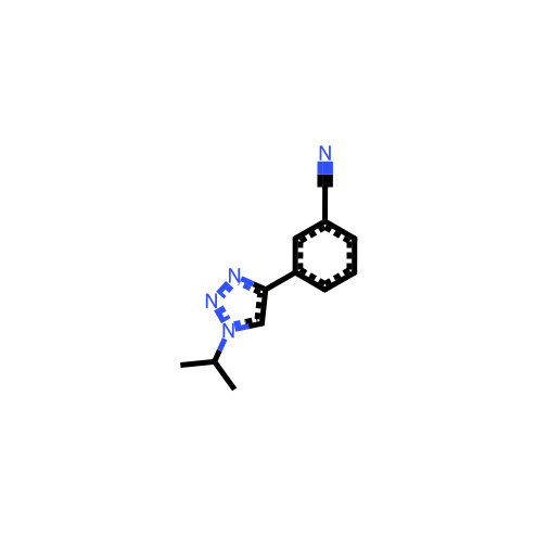 CC(C)n1cc(-c2cccc(C#N)c2)nn1